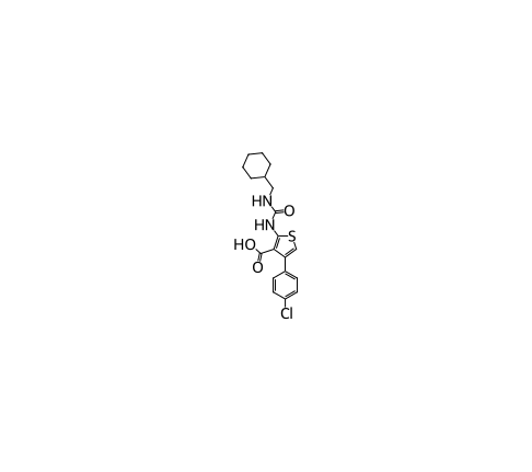 O=C(NCC1CCCCC1)Nc1scc(-c2ccc(Cl)cc2)c1C(=O)O